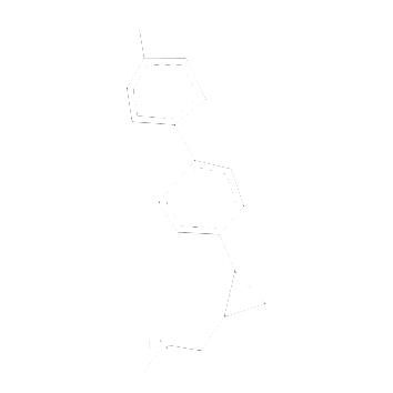 CNCC1CC1c1ccc(-c2ccc(F)cc2)cc1